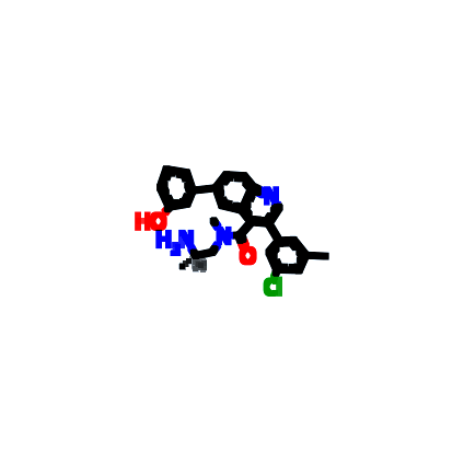 Cc1cc(Cl)cc(-c2cnc3ccc(-c4cccc(O)c4)cc3c2C(=O)N(C)C[C@H](C)N)c1